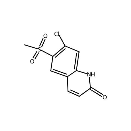 CS(=O)(=O)c1cc2ccc(=O)[nH]c2cc1Cl